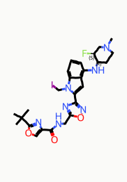 CN1CC[C@@H](Nc2cccc3c2cc(-c2noc(CNC(=O)c4coc(C(C)(C)C)n4)n2)n3CI)[C@@H](F)C1